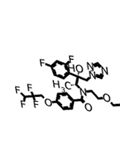 C[C@@H](N(CCOCc1ccccc1)C(=O)c1ccc(OCC(F)(F)C(F)F)cc1)[C@](O)(Cn1cncn1)c1ccc(F)cc1F